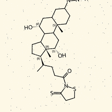 CC(CCC(=O)N1SCCC1=S)[C@H]1CCC2C3C(C[C@H](O)[C@@]21C)[C@@]1(C)CCC(N=[N+]=[N-])CC1C[C@H]3O